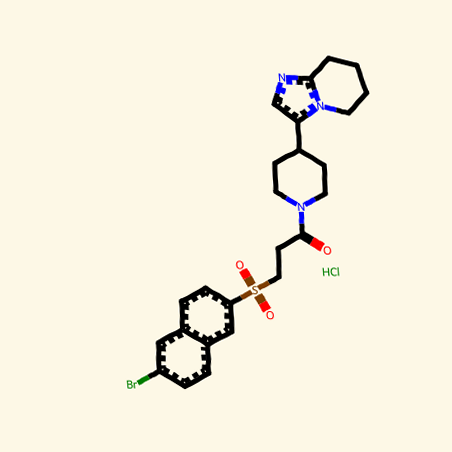 Cl.O=C(CCS(=O)(=O)c1ccc2cc(Br)ccc2c1)N1CCC(c2cnc3n2CCCC3)CC1